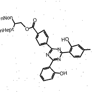 CCCCCCCCCC(CCCCCCC)COC(=O)c1ccc(-c2nc(-c3ccccc3O)nc(-c3ccc(C)cc3O)n2)cc1